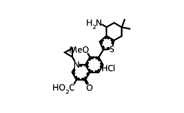 COc1c(-c2cc3c(s2)CC(C)(C)CC3N)ccc2c(=O)c(C(=O)O)cn(C3CC3)c12.Cl